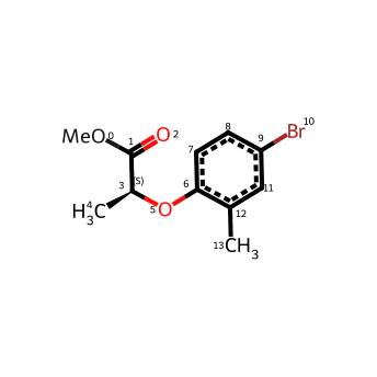 COC(=O)[C@H](C)Oc1ccc(Br)cc1C